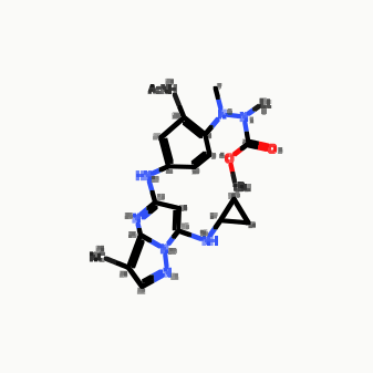 CCN(C(=O)OC(C)(C)C)N(C)c1ccc(Nc2cc(NC3CC3)n3ncc(C#N)c3n2)cc1NC(C)=O